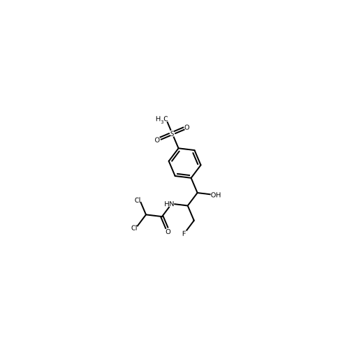 CS(=O)(=O)c1ccc(C(O)C(CF)NC(=O)C(Cl)Cl)cc1